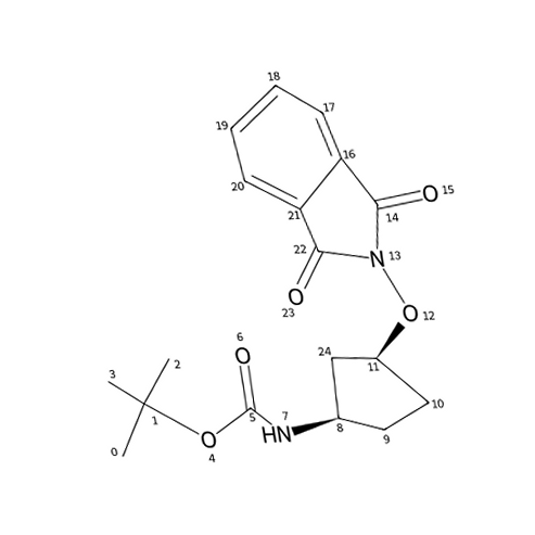 CC(C)(C)OC(=O)N[C@@H]1CC[C@H](ON2C(=O)c3ccccc3C2=O)C1